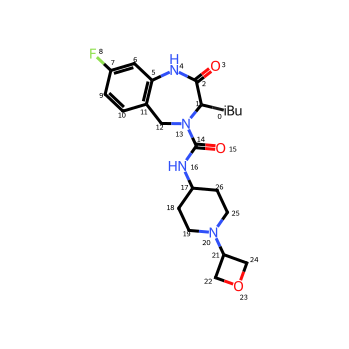 CCC(C)C1C(=O)Nc2cc(F)ccc2CN1C(=O)NC1CCN(C2COC2)CC1